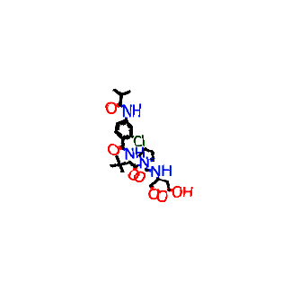 CC(C)C(=O)Nc1ccc(C(=O)N[C@H](C(=O)[N+]2(C(=O)N[C@H](C=O)CC(=O)O)CCCC2)C(C)(C)C)c(Cl)c1